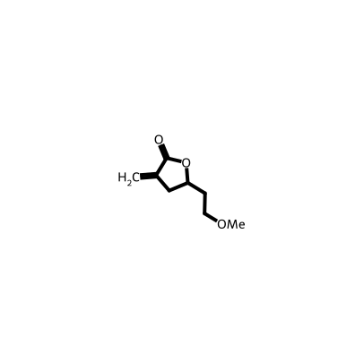 C=C1CC(CCOC)OC1=O